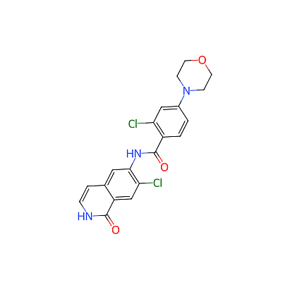 O=C(Nc1cc2cc[nH]c(=O)c2cc1Cl)c1ccc(N2CCOCC2)cc1Cl